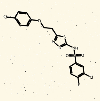 O=S(=O)(Nc1nnc(CCOc2ccc(Cl)cc2)s1)c1ccc(F)c(Cl)c1